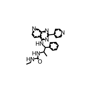 CCNC(=O)NC(C)C(Nc1nc(-c2ccncc2)nc2cnccc12)c1ccccc1